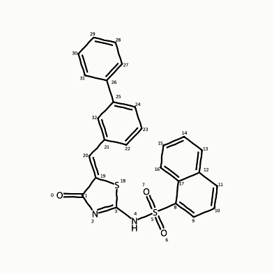 O=C1N=C(NS(=O)(=O)c2cccc3ccccc23)SC1=Cc1cccc(-c2ccccc2)c1